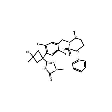 C[C@H]1CC[C@H](c2ccccc2)S(=O)(=O)N1Cc1cc(F)c([C@]2(c3nn(C)c(=O)[nH]3)C[C@@](C)(O)C2)cc1F